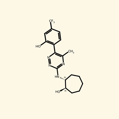 Cc1nc(N[C@@H]2CCCCC[C@H]2O)nnc1-c1ccc(C(F)(F)F)cc1O